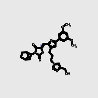 COc1cc(OC)cc(-c2cc(CCCn3cc(CO)nn3)c(/C=C3\SC(=S)N(C4CC5CCC4C5)C3=O)o2)c1